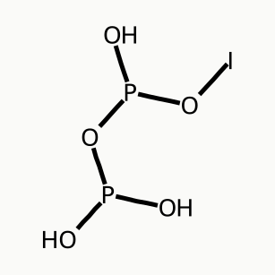 OP(O)OP(O)OI